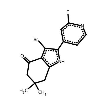 CC1(C)CC(=O)c2c([nH]c(-c3ccnc(F)c3)c2Br)C1